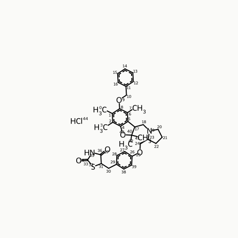 Cc1c(C)c2c(c(C)c1OCc1ccccc1)C(CN1CCC[C@H]1COc1ccc(CC3SC(=O)NC3=O)cc1)C(C)(C)O2.Cl